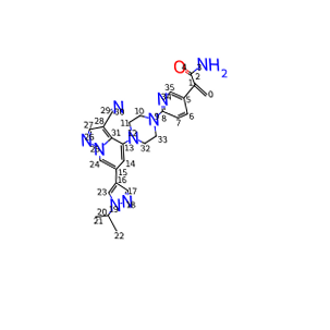 C=C(C(N)=O)c1ccc(N2CCN(c3cc(-c4cnn(C(C)C)c4)cn4ncc(C#N)c34)CC2)nc1